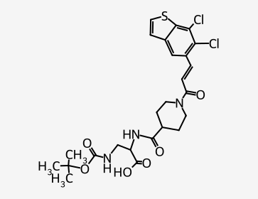 CC(C)(C)OC(=O)NCC(NC(=O)C1CCN(C(=O)C=Cc2cc3ccsc3c(Cl)c2Cl)CC1)C(=O)O